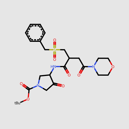 CC(C)(C)OC(=O)N1CC(=O)C(NC(=O)C(CC(=O)N2CCOCC2)CS(=O)(=O)Cc2ccccc2)C1